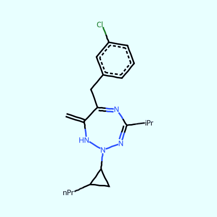 C=C1NN(C2CC2CCC)N=C(C(C)C)N=C1Cc1cccc(Cl)c1